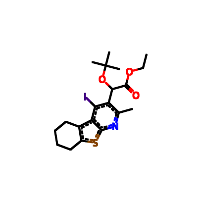 CCOC(=O)C(OC(C)(C)C)c1c(C)nc2sc3c(c2c1I)CCCC3